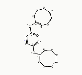 O=C(/C=C\C(=O)OC1=CCCCCCC1)OC1=CCCCCCC1